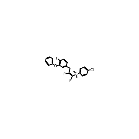 C[Si](C)(C(F)=C(F)Cc1ccc(F)c(Oc2ccccc2)c1)c1ccc(Cl)cc1